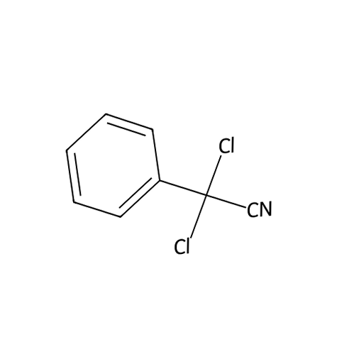 N#CC(Cl)(Cl)c1ccccc1